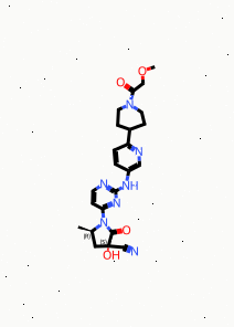 COCC(=O)N1CCC(c2ccc(Nc3nccc(N4C(=O)[C@@](O)(C#N)C[C@H]4C)n3)cn2)CC1